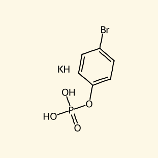 O=P(O)(O)Oc1ccc(Br)cc1.[KH]